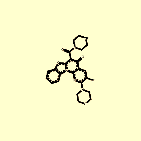 O=C(c1c(=O)c2cc(F)c(N3CCOCC3)nc2n2c1sc1ccccc12)N1CCNCC1